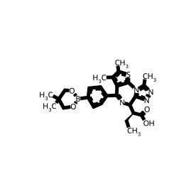 CC[C@H](C(=O)O)C1N=C(c2ccc(B3OCC(C)(C)CO3)cc2)c2c(sc(C)c2C)-n2c(C)nnc21